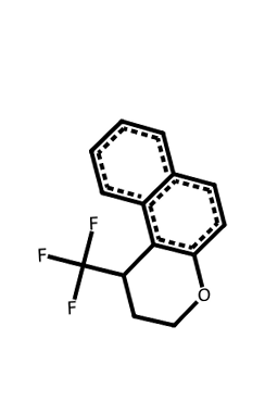 FC(F)(F)C1CCOc2ccc3ccccc3c21